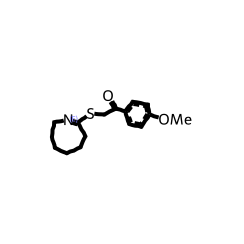 COc1ccc(C(=O)CS/C2=N/CCCCCC2)cc1